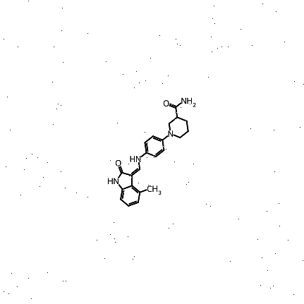 Cc1cccc2c1C(=CNc1ccc(N3CCCC(C(N)=O)C3)cc1)C(=O)N2